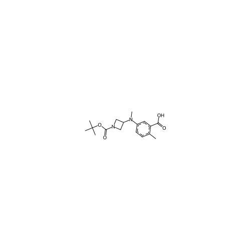 Cc1ccc(N(C)C2CN(C(=O)OC(C)(C)C)C2)cc1C(=O)O